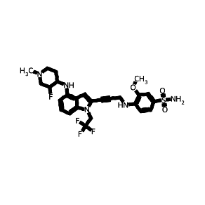 COc1cc(S(N)(=O)=O)ccc1NCC#Cc1cc2c(NC3CCN(C)CC3F)cccc2n1CC(F)(F)F